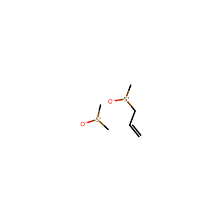 C=CC[S+](C)[O-].C[S+](C)[O-]